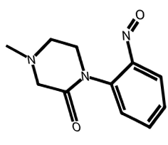 CN1CCN(c2ccccc2N=O)C(=O)C1